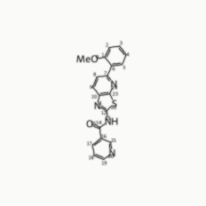 COc1ccccc1-c1ccc2nc(NC(=O)c3cccnc3)sc2n1